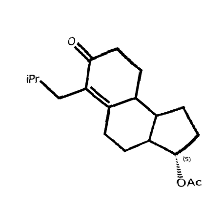 CC(=O)O[C@H]1CCC2C3CCC(=O)C(CC(C)C)=C3CCC21